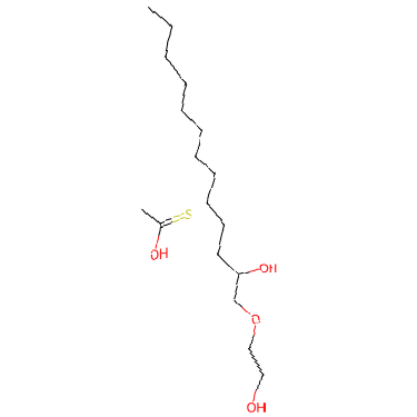 CC(O)=S.CCCCCCCCCCCC(O)COCCO